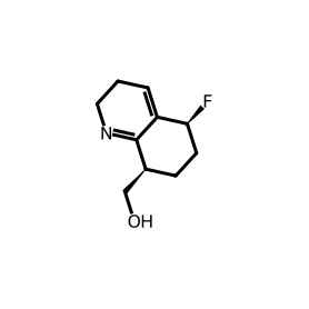 OC[C@@H]1CC[C@H](F)C2=CCCN=C21